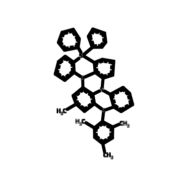 Cc1cc(C)c(B2c3ccccc3N3c4cccc5c4B(c4ccccc4[Si]5(c4ccccc4)c4ccccc4)c4cc(C)cc2c43)c(C)c1